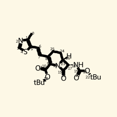 Cc1ncsc1/C=C/C1=C(C(=O)OC(C)(C)C)N2C(=O)[C@@H](NC(=O)OC(C)(C)C)[C@H]2CC1